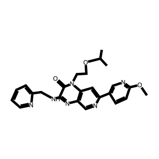 COc1ccc(-c2cc3c(cn2)nc(NCc2ccccn2)c(=O)n3CCOC(C)C)cn1